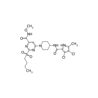 CCCCS(=O)(=O)c1nc(C(=O)NOC)cc(N2CCC(NC(=O)c3[nH]c(C)c(Cl)c3Cl)CC2)n1